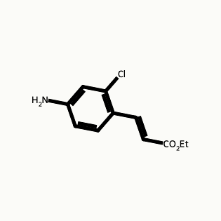 CCOC(=O)C=Cc1ccc(N)cc1Cl